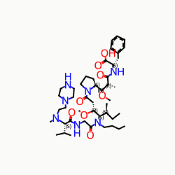 CCCCN(C(=O)CNC(=O)[C@H](C(C)C)N(C)CCN1CCNCC1)[C@@H]([C@@H](C)CC)[C@@H](CC(=O)N1CCC[C@H]1[C@H](OC)[C@@H](C)C(=O)N[C@@H](Cc1ccccc1)C(=O)O)OC